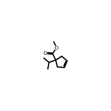 COC(=O)C1(C(C)C)CC=CC1